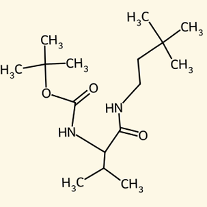 CC(C)C(NC(=O)OC(C)(C)C)C(=O)NCCC(C)(C)C